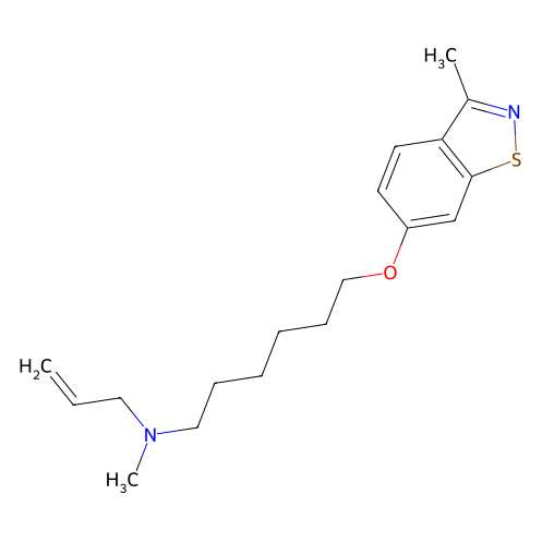 C=CCN(C)CCCCCCOc1ccc2c(C)nsc2c1